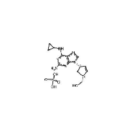 Nc1nc(NC2CC2)c2ncn([C@@H]3C=C[C@H](CO)C3)c2n1.O=S(=O)(O)O